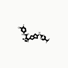 Cn1cnc(C2CC3CC(Nc4ncc(C(F)F)cn4)CC3C2)c1C(=O)Nc1ccc(F)c(Cl)c1